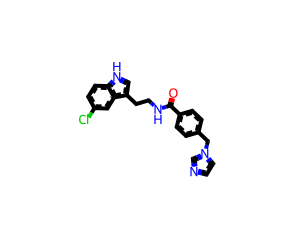 O=C(NCCc1c[nH]c2ccc(Cl)cc12)c1ccc(Cn2ccnc2)cc1